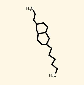 CCCCCCC1CCC2CC(CCC)CCC2C1